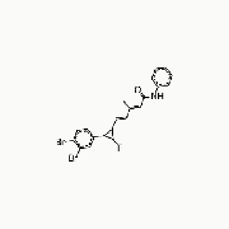 CC(/C=C/C1C(F)C1c1ccc(Br)c(Br)c1)=C\C(=O)Nc1ccccc1